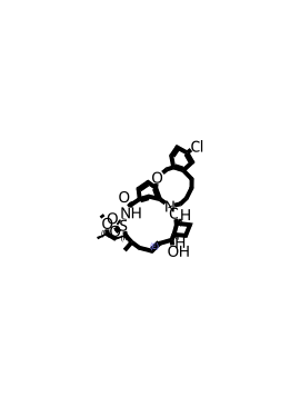 CO[C@H](C)C[C@@H]1C(C)C/C=C/C(O)[C@@H]2CC[C@H]2CN2CCCCc3cc(Cl)ccc3COc3ccc(cc32)C(=O)NS1(=O)=O